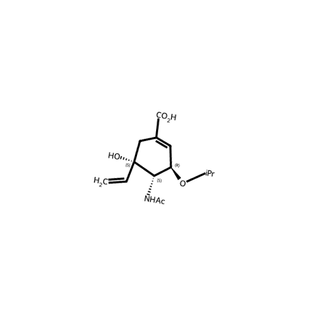 C=C[C@@]1(O)CC(C(=O)O)=C[C@@H](OC(C)C)[C@@H]1NC(C)=O